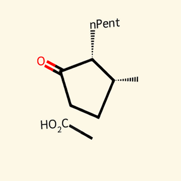 CC(=O)O.CCCCC[C@H]1C(=O)CC[C@H]1C